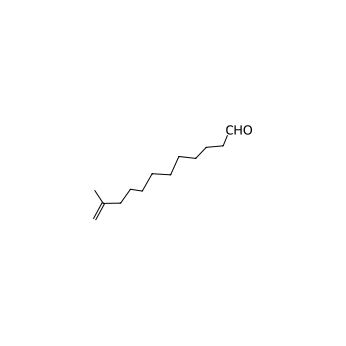 C=C(C)CCCCCCCCCC=O